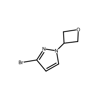 Brc1ccn(C2COC2)n1